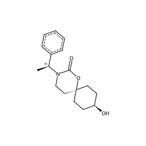 C[C@@H](c1ccccc1)N1CC[C@]2(CC[C@H](O)CC2)OC1=O